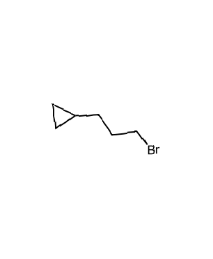 BrCCCC1CC1